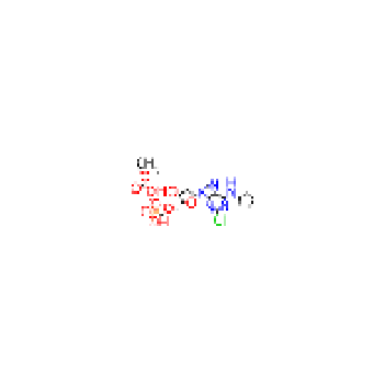 CCOC(=O)OCOP(=O)(O)COC[C@H]1O[C@@H](n2cnc3c(NC4CCCC4)nc(Cl)nc32)C[C@@H]1O